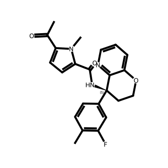 CC(=O)c1ccc(C(=O)N[C@]2(c3ccc(C)c(F)c3)CCOc3cccnc32)n1C